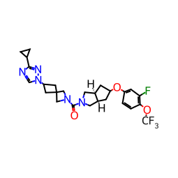 O=C(N1C[C@H]2CC(Oc3ccc(OC(F)(F)F)c(F)c3)C[C@H]2C1)N1CC2(CC(n3cnc(C4CC4)n3)C2)C1